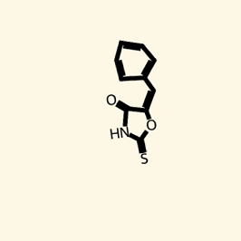 O=C1NC(=S)OC1=Cc1ccccc1